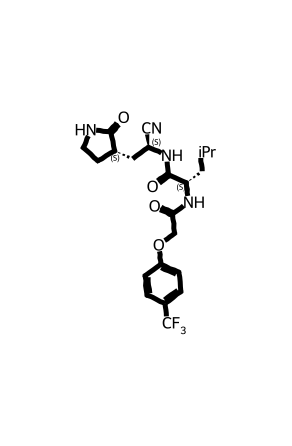 CC(C)C[C@H](NC(=O)COc1ccc(C(F)(F)F)cc1)C(=O)N[C@H](C#N)C[C@@H]1CCNC1=O